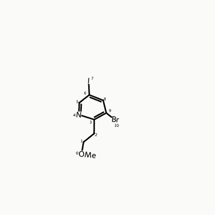 COCCc1ncc(I)cc1Br